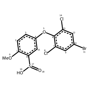 COc1ccc(Oc2c(Cl)cc(Br)cc2Cl)cc1S(=O)O